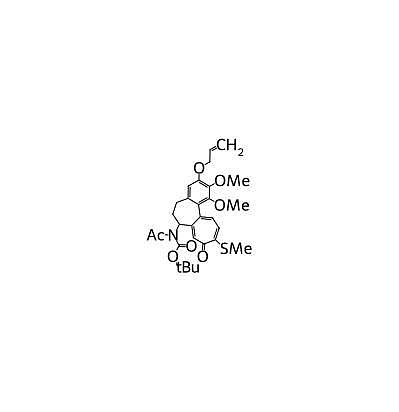 C=CCOc1cc2c(c(OC)c1OC)-c1ccc(SC)c(=O)cc1C(N(C(C)=O)C(=O)OC(C)(C)C)CC2